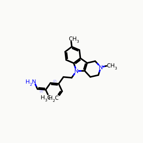 C=C/C(=C\C(C)=C/N)CCn1c2c(c3cc(C)ccc31)CN(C)CC2